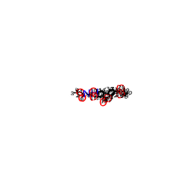 CC(C)(C)OC(=O)NCC(=O)Oc1ccc2c(c1)c(=O)oc1cc(C(=O)OC(C)(C)C)ccc12